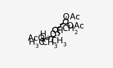 C=C1/C(=C\C=C2/CCC[C@]3(C)[C@@H]([C@H](C)CCCC(C)(C)OC(C)=O)CC[C@@H]23)C[C@@H](OC(C)=O)C[C@@H]1OC(C)=O